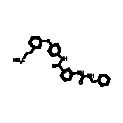 O=C(O)CCc1cccc(Sc2ccc(NC(=O)c3cccc(NC(=O)NCc4ccccc4)c3)cc2)c1